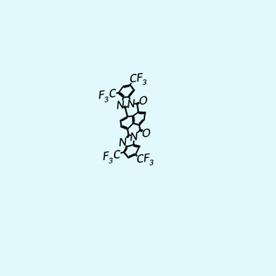 O=c1c2ccc3c(=O)n4c5cc(C(F)(F)F)cc(C(F)(F)F)c5nc4c4ccc(c2c34)c2nc3c(C(F)(F)F)cc(C(F)(F)F)cc3n12